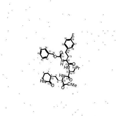 COC(=O)[C@H](CC[C@@H]1CCCNC1=O)NC(=O)[C@H](CC(C)C)NC(=O)[C@H](CCc1ccc(F)cc1)NC(=O)OCc1ccccc1